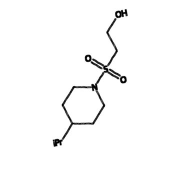 CC(C)C1CCN(S(=O)(=O)CCO)CC1